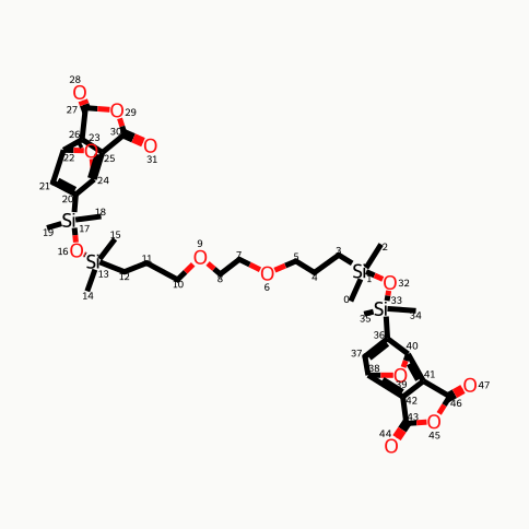 C[Si](C)(CCCOCCOCCC[Si](C)(C)O[Si](C)(C)c1cc2oc1c1c2C(=O)OC1=O)O[Si](C)(C)c1cc2oc1c1c2C(=O)OC1=O